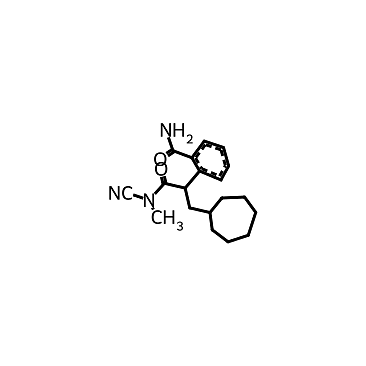 CN(C#N)C(=O)C(CC1CCCCCC1)c1ccccc1C(N)=O